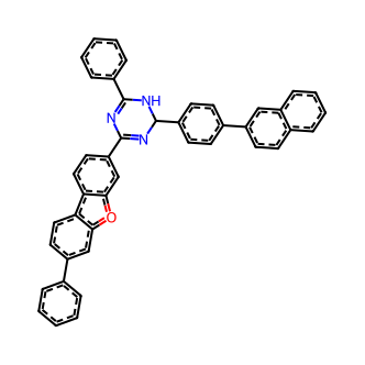 c1ccc(C2=NC(c3ccc4c(c3)oc3cc(-c5ccccc5)ccc34)=NC(c3ccc(-c4ccc5ccccc5c4)cc3)N2)cc1